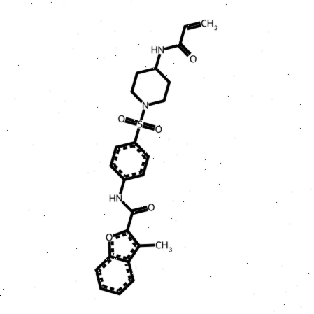 C=CC(=O)NC1CCN(S(=O)(=O)c2ccc(NC(=O)c3oc4ccccc4c3C)cc2)CC1